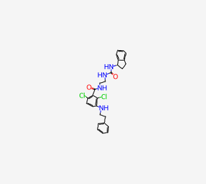 O=C(NCCNC(=O)c1c(Cl)ccc(NCCc2ccccc2)c1Cl)N[C@@H]1CCc2ccccc21